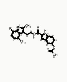 Cc1[nH]c2c(F)ccc(C)c2c1CCNC(=O)c1cc2cc(OC(=O)O)ccc2[nH]1